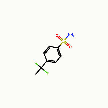 CC(F)(F)c1ccc(S(N)(=O)=O)cc1